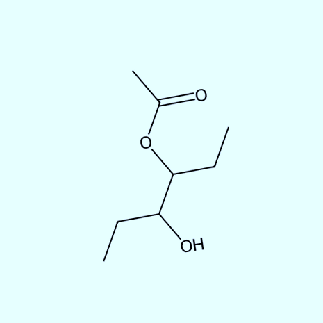 CCC(O)C(CC)OC(C)=O